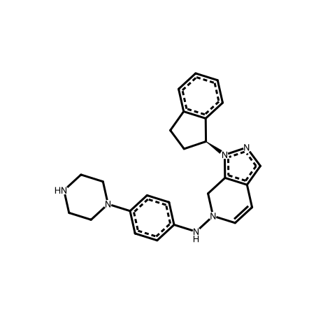 C1=CN(Nc2ccc(N3CCNCC3)cc2)Cc2c1cnn2[C@H]1CCc2ccccc21